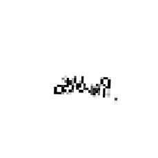 CN(CCOC(=O)C1=NSc2ccccc2C=C1)Cc1ccccc1